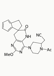 COc1nc2c(c(N3CCN(C(C)=O)C(CC#N)C3)n1)NC(=O)C1(CCc3ccccc31)C2